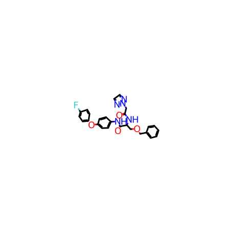 O=C(Cn1nccn1)NC(COCc1ccccc1)C(=O)Nc1ccc(Oc2ccc(F)cc2)cc1